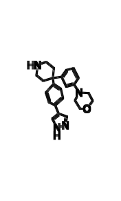 c1cc(N2CCOCC2)cc(C2(c3ccc(-c4cn[nH]c4)cc3)CCNCC2)c1